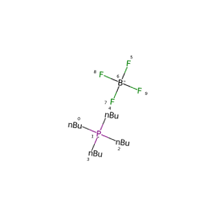 CCCC[P](CCCC)(CCCC)CCCC.F[B-](F)(F)F